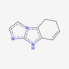 C1=Cc2[nH]c3nccn3c2CC1